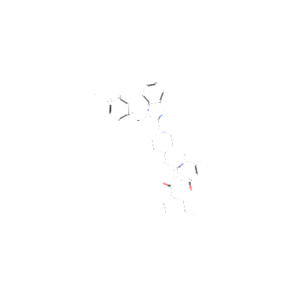 CCCN(CC)C(=O)n1c(N(C)C2CCN(c3nc4ccccc4n3Cc3ccc(F)cc3)CC2)nccc1=O